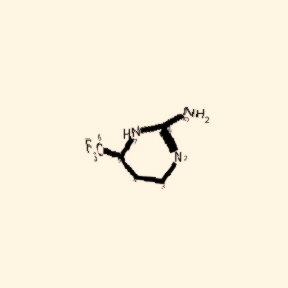 NC1=NCCC(C(F)(F)F)N1